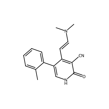 Cc1ccccc1-c1c[nH]c(=O)c(C#N)c1C=CN(C)C